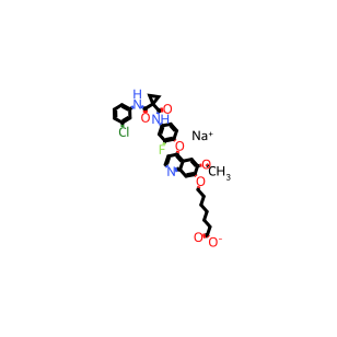 COc1cc2c(Oc3ccc(NC(=O)C4(C(=O)Nc5cccc(Cl)c5)CC4)cc3F)ccnc2cc1OCCCCCCC(=O)[O-].[Na+]